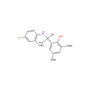 CCC(C)(Pc1ccc(F)cc1C=O)c1cc(OC)cc(OC)c1O